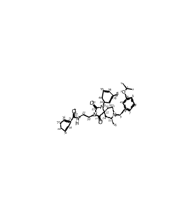 CC(C)Oc1cccc(CN2CC[C@@]3(C[C@@H]2C)C(=O)N(CCNC(=O)C2=CCCC=C2)C(=O)N3C2C=C(F)C=CC2)c1